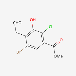 COC(=O)c1cc(Br)c(CC=O)c(O)c1Cl